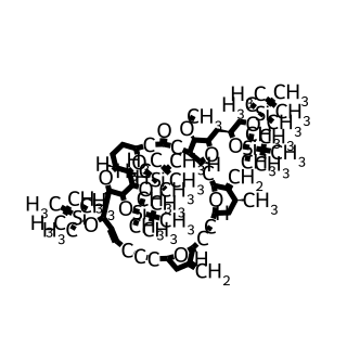 C=C1C2C[C@@H]3OC(C[C@@H](CO[Si](C)(C)C(C)(C)C)O[Si](C)(C)C(C)(C)C)[C@H](OC)C3CC(=O)CC3CC[C@@H]4O[C@@H](C(O[Si](C)(C)C(C)(C)C)/C=C/CCCC5CC(=C)[C@H](CC[C@@H](C[C@H]1C)O2)O5)C(O[Si](C)(C)C(C)(C)C)C(O[Si](C)(C)C(C)(C)C)[C@H]4O3